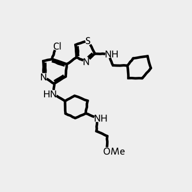 COCCNC1CCC(Nc2cc(-c3csc(NCC4CCCCC4)n3)c(Cl)cn2)CC1